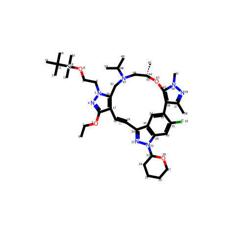 CCOc1nn(CCO[Si](C)(C)C(C)(C)C)c2c1/C=C/c1nn(C3CCCCO3)c3cc(F)c(cc13)-c1c(C)nn(C)c1O[C@@H](C)CN(C(C)C)C2